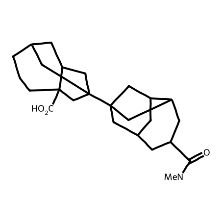 CNC(=O)C1CC2CC3CC(C45CC6CCCC(C(=O)O)(C4)C(C6)C5)(C2)CC3C1